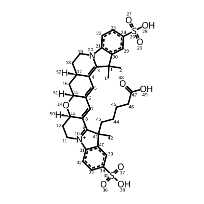 CC1(C)C2=C3C=C4C=C5C6=[N+](CC[C@@H]5O[C@@H]4C[C@@H]3CCN2c2ccc(S(=O)(=O)O)cc21)c1ccc(S(=O)(=O)O)cc1C6(C)CCCCC(=O)O